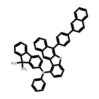 CC1(C)c2ccccc2-c2ccc(N(c3ccccc3)c3cccc4oc5c(-c6ccc(-c7ccc8ccccc8c7)cc6)c6ccccc6cc5c34)cc21